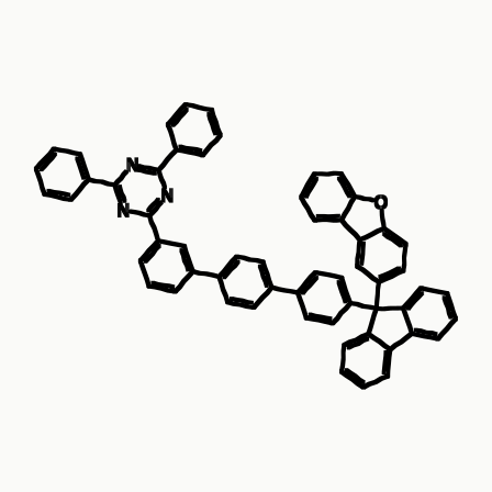 c1ccc(-c2nc(-c3ccccc3)nc(-c3cccc(-c4ccc(-c5ccc(C6(c7ccc8oc9ccccc9c8c7)c7ccccc7-c7ccccc76)cc5)cc4)c3)n2)cc1